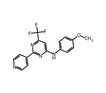 COc1ccc(Nc2cc(C(F)(F)F)nc(-c3ccncc3)n2)cc1